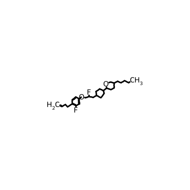 C=CCCc1ccc(OCC(F)CC2CCC(C3CCC(CCCCC)CO3)CC2)cc1F